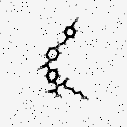 CCCCOC(=O)N(C(C)=O)c1ccc(C(=O)N2CCN(CCc3ccc(Cl)cc3)CC2)cc1